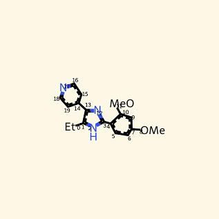 CCc1[nH]c(-c2ccc(OC)cc2OC)nc1-c1ccncc1